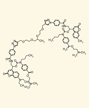 C=C(OCCN(C)C)c1ccc(N(CCCC)C(=O)OC(CNC(=O)c2ccc(-n3cc(COCCOC(C)COCCOCc4cn(-c5ccc(C(=O)NCC(OC(=O)N(CCCC)c6ccc(C(=O)OCCN(C)C)cc6)c6cc(=O)oc7cc(N(CC)CC)ccc67)cc5)nn4)nn3)cc2)c2cc(=O)oc3cc(C)ccc23)cc1